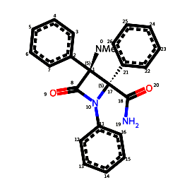 CN[C@]1(c2ccccc2)C(=O)N(c2ccccc2)[C@@]1(C(N)=O)c1ccccc1